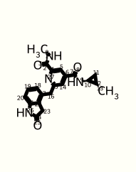 CNC(=O)c1cc(C(=O)N[C@H]2C[C@@H]2C)cc(Cc2cccc3c2CC(=O)N3)n1